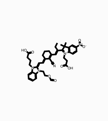 CC/C(=C\C1=C(C#N)C(=C/C=C2/N(CCCC(=O)O)c3ccccc3N2CCOC=O)/CCC1)C1=[N+](CCC(=O)O)c2ccc([N+](=O)[O-])cc2C1(C)C